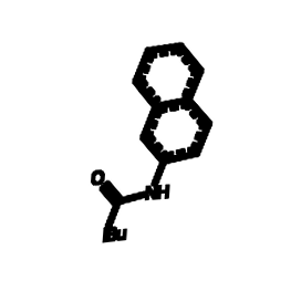 CCC(C)C(=O)Nc1ccc2ccccc2c1